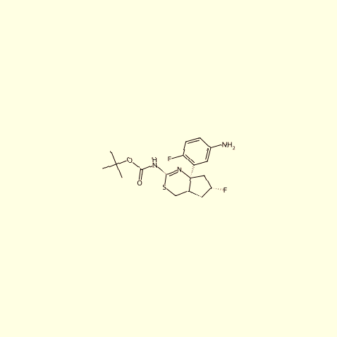 CC(C)(C)OC(=O)NC1=N[C@@]2(c3cc(N)ccc3F)C[C@H](F)CC2CS1